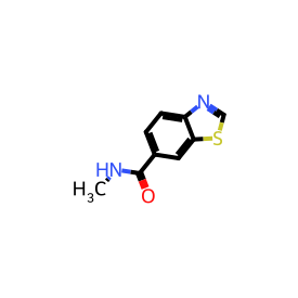 CNC(=O)c1ccc2ncsc2c1